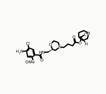 COc1cc(N)c(Cl)cc1C(=O)NC[C@@H]1CN(CCCC(=O)O[C@H]2CN3CCC2CC3)CCO1